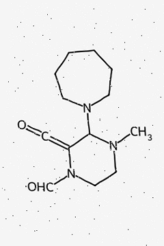 CN1CCN([C]=O)C(=C=O)C1N1CCCCCC1